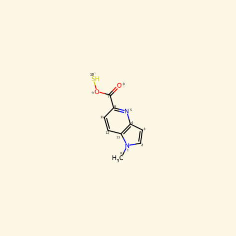 Cn1ccc2nc(C(=O)OS)ccc21